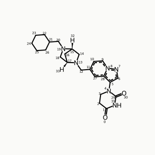 O=C1CCN(c2cnn3ccc(CN4C[C@@H]5C[C@H]4CN5CC4CCCCC4)cc23)C(=O)N1